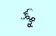 CCCCS(=O)(=O)Oc1cnc(-c2nn(Cc3ccccc3F)c3ncccc23)nc1N